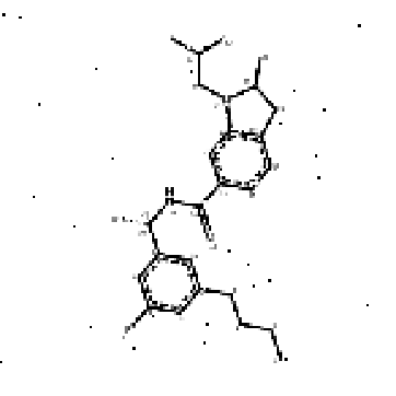 CCCCc1cc(F)cc([C@H](C)NC(=O)c2ccc3c(c2)N(CC(C)C)C(C)C3)c1